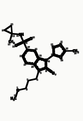 COCCCn1c(=O)n(-c2nnc(C)o2)c2cc(S(=O)(=O)NC3(C)CC3)ccc21